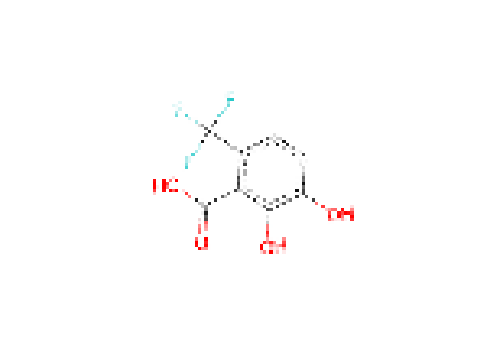 O=C(O)c1c(C(F)(F)F)ccc(O)c1O